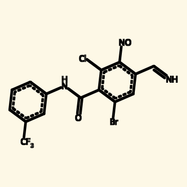 N=Cc1cc(Br)c(C(=O)Nc2cccc(C(F)(F)F)c2)c(Cl)c1N=O